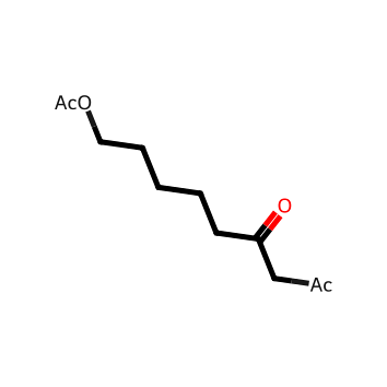 CC(=O)CC(=O)CCCCCOC(C)=O